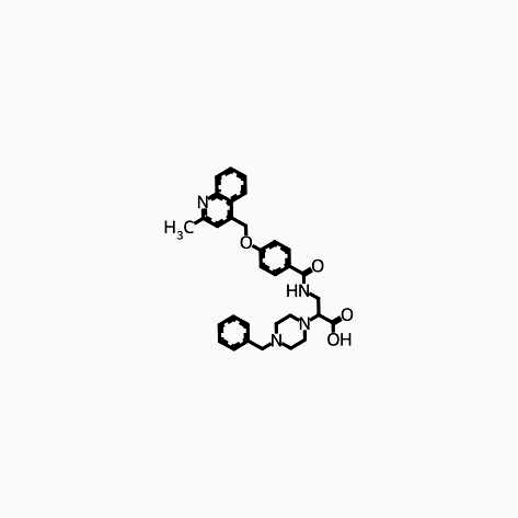 Cc1cc(COc2ccc(C(=O)NCC(C(=O)O)N3CCN(Cc4ccccc4)CC3)cc2)c2ccccc2n1